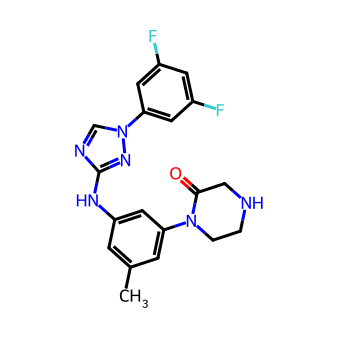 Cc1cc(Nc2ncn(-c3cc(F)cc(F)c3)n2)cc(N2CCNCC2=O)c1